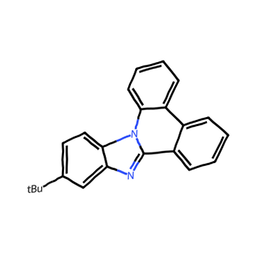 CC(C)(C)c1ccc2c(c1)nc1c3ccccc3c3ccccc3n21